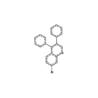 Brc1ccc2c(-c3ccccc3)c(-c3ccccc3)cnc2c1